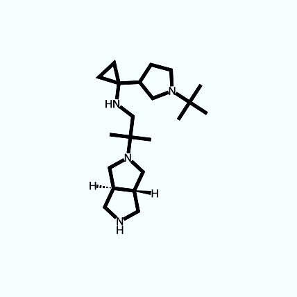 CC(C)(C)N1CCC(C2(NCC(C)(C)N3C[C@@H]4CNC[C@H]4C3)CC2)C1